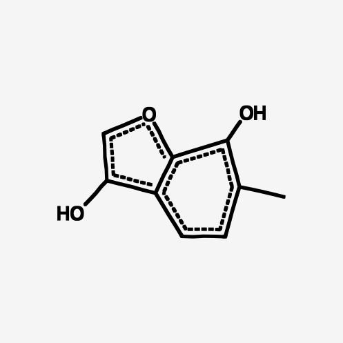 Cc1ccc2c(O)coc2c1O